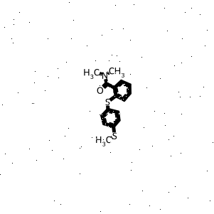 CSc1ccc(Sc2ccccc2C(=O)N(C)C)cc1